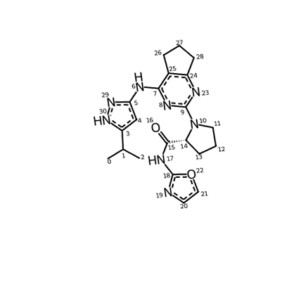 CC(C)c1cc(Nc2nc(N3CCC[C@@H]3C(=O)Nc3ncco3)nc3c2CCC3)n[nH]1